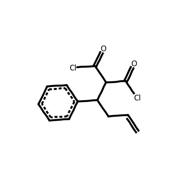 C=CCC(c1ccccc1)C(C(=O)Cl)C(=O)Cl